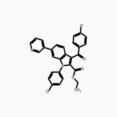 CCOC(=O)c1c(C(=O)c2ccc(Cl)cc2)c2ccc(-c3cccnc3)cc2n1-c1ccc(Cl)cc1